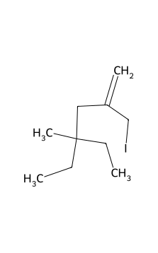 C=C(CI)CC(C)(CC)CC